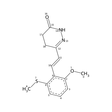 COc1cccc(SC)c1C=CC1=NNC(=O)CC1